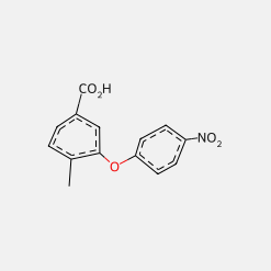 Cc1ccc(C(=O)O)cc1Oc1ccc([N+](=O)[O-])cc1